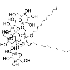 CCCCCCCCCCCO[C@H]([C@@H](OCCCCCCCCCCC)[C@H](CO[C@@H]1OC(CO)[C@@H](O)C(O)C1O)O[C@]1(O)COC(CO)[C@@H](O)C1O)[C@H](CO[C@@H]1OC(CO)[C@@H](O)C(O)C1O)O[C@@H]1OC(CO)[C@@H](O)C(O)C1O